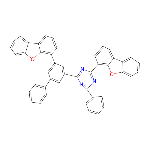 c1ccc(-c2cc(-c3nc(-c4ccccc4)nc(-c4cccc5c4oc4ccccc45)n3)cc(-c3cccc4c3oc3ccccc34)c2)cc1